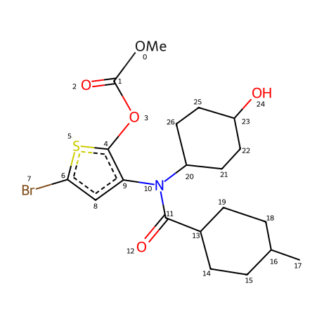 COC(=O)Oc1sc(Br)cc1N(C(=O)C1CCC(C)CC1)C1CCC(O)CC1